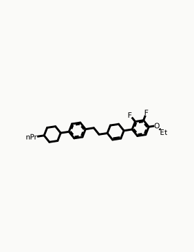 CCCC1CCC(c2ccc(CCC3C=CC(c4ccc(OCC)c(F)c4F)CC3)cc2)CC1